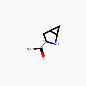 COC(=O)[C@@H]1CC2CC2N1